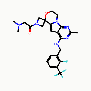 Cc1nc(NCc2cccc(C(F)(F)F)c2F)c2cc3n(c2n1)CCOC31CN(C(=O)CN(C)C)C1